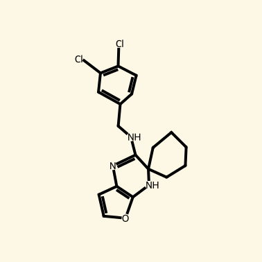 Clc1ccc(CNC2=Nc3ccoc3NC23CCCCC3)cc1Cl